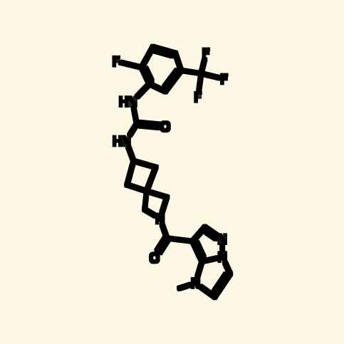 Cn1ccn2ncc(C(=O)N3CC4(CC(NC(=O)Nc5cc(C(F)(F)F)ccc5F)C4)C3)c12